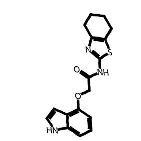 O=C(COc1cccc2[nH]ccc12)Nc1nc2c(s1)CCCC2